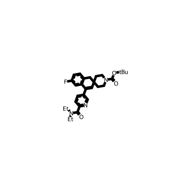 CCN(CC)C(=O)c1ccc(C2=CC3(CCN(C(=O)OC(C)(C)C)CC3)Cc3ccc(F)cc32)cn1